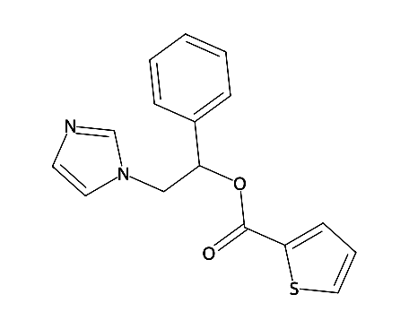 O=C(OC(Cn1ccnc1)c1ccccc1)c1cccs1